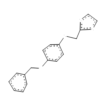 c1ccc(COc2ccc(NCc3ncc[nH]3)cc2)cc1